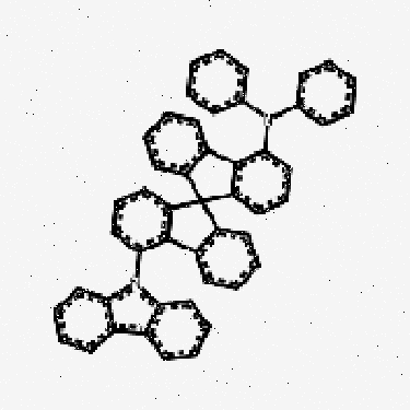 c1ccc(N(c2ccccc2)c2cccc3c2-c2ccccc2C32c3ccccc3-c3c(-n4c5ccccc5c5ccccc54)cccc32)cc1